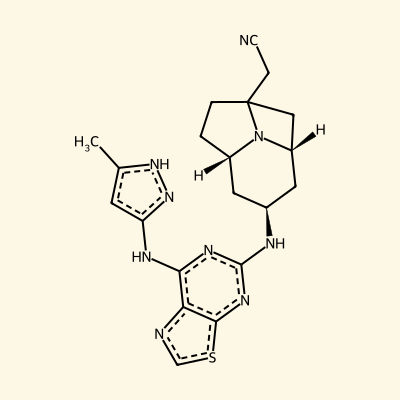 Cc1cc(Nc2nc(N[C@H]3C[C@@H]4CCC5(CC#N)C[C@H](C3)N45)nc3scnc23)n[nH]1